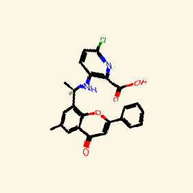 Cc1cc([C@@H](C)Nc2ccc(Cl)nc2C(=O)O)c2oc(-c3ccccc3)cc(=O)c2c1